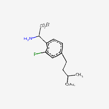 CCOC(=O)C(N)c1ccc(CCC(C)OC(C)=O)cc1F